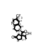 CC(O)C1(C(=O)N2CCc3ncc(C(F)(F)F)cc3C2)CCC(=O)C1